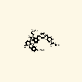 COCCn1c(=O)n(C2CCC(=O)N(Cc3ccc(OC)cc3)C2=O)c2cccc(CN3CCN(CC4CCN(C(=O)OC(C)(C)C)CC4)CC3)c21